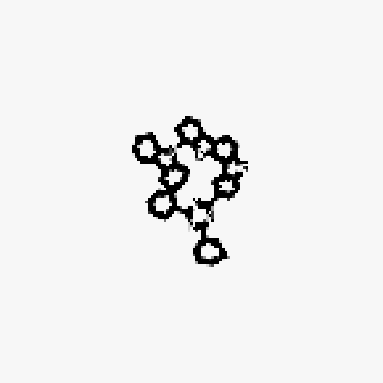 c1ccc(-c2nc(-c3ccccc3)nc(-c3ccc4sc5ccc6c7cccc(-n8c9ccccc9c9ccccc98)c7oc6c5c4c3)n2)cc1